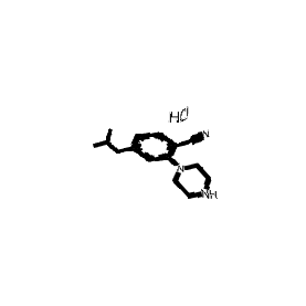 CC(C)Cc1ccc(C#N)c(N2CCNCC2)c1.Cl